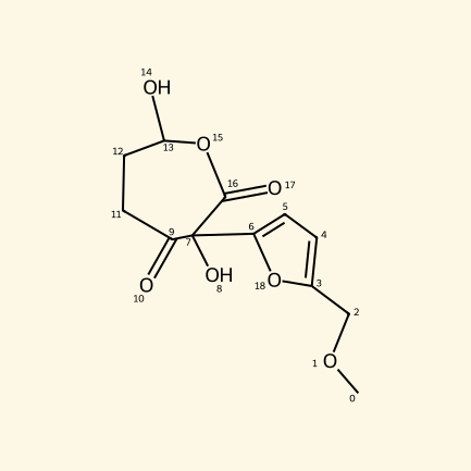 COCc1ccc(C2(O)C(=O)CCC(O)OC2=O)o1